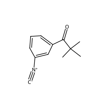 [C-]#[N+]c1cccc(C(=O)C(C)(C)C)c1